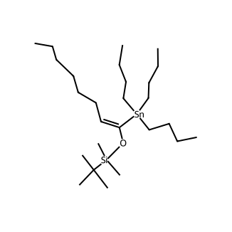 CCCCCCC=[C](O[Si](C)(C)C(C)(C)C)[Sn]([CH2]CCC)([CH2]CCC)[CH2]CCC